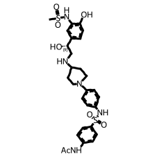 CC(=O)Nc1ccc(S(=O)(=O)Nc2ccc(N3CCC(NC[C@H](O)c4ccc(O)c(NS(C)(=O)=O)c4)CC3)cc2)cc1